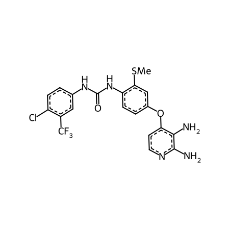 CSc1cc(Oc2ccnc(N)c2N)ccc1NC(=O)Nc1ccc(Cl)c(C(F)(F)F)c1